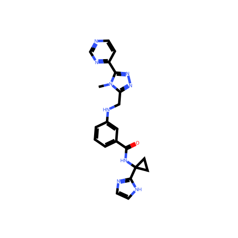 Cn1c(CNc2cccc(C(=O)NC3(c4ncc[nH]4)CC3)c2)nnc1-c1ccncn1